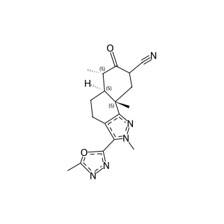 Cc1nnc(-c2c3c(nn2C)[C@@]2(C)CC(C#N)C(=O)[C@@H](C)[C@@H]2CC3)o1